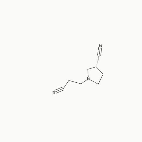 N#CCCN1CC[C@@H](C#N)C1